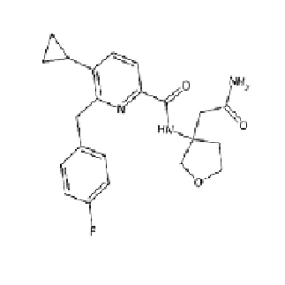 NC(=O)CC1(NC(=O)c2ccc(C3CC3)c(Cc3ccc(F)cc3)n2)CCOC1